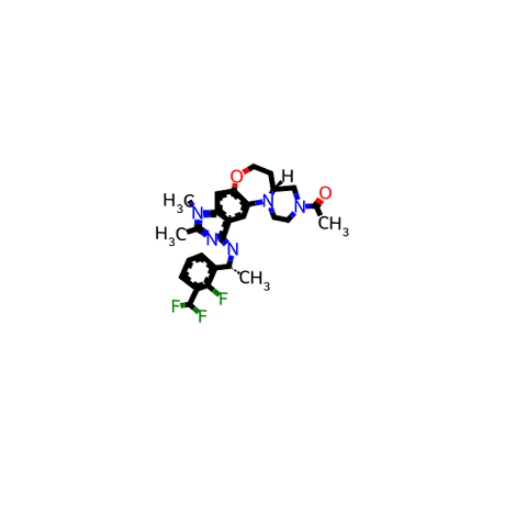 CC(=O)N1CCN2c3cc4/c(=N/[C@H](C)c5cccc(C(F)F)c5F)nc(C)n(C)c4cc3OCC[C@@H]2C1